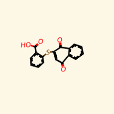 O=C(O)c1ccccc1SC1=CC(=O)c2ccccc2C1=O